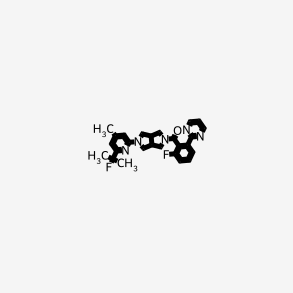 Cc1cc(N2CC3CN(C(=O)c4c(F)cccc4-c4ncccn4)CC3C2)nc(C(C)(C)F)c1